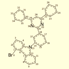 Brc1cccc2c1c1ccccc1n2-c1cccc(-c2nc(-c3ccccc3)cc(-c3ccccc3)n2)c1